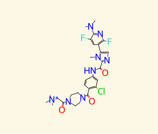 CN(C)c1nc(F)c(-c2cnc(C(=O)Nc3ccc(C(=O)N4CCN(C(=O)C[N+](C)(C)C)CC4)c(Cl)c3)n2C)cc1F